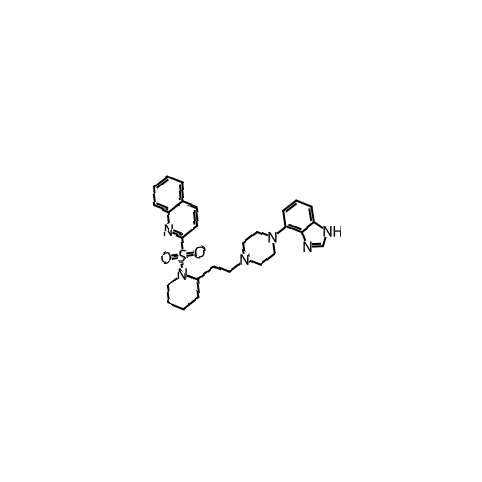 O=S(=O)(c1ccc2ccccc2n1)N1CCCCC1CCN1CCN(c2cccc3[nH]cnc23)CC1